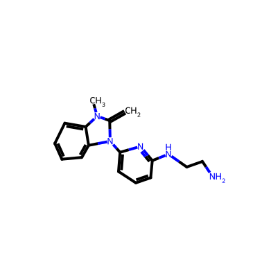 C=C1N(C)c2ccccc2N1c1cccc(NCCN)n1